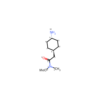 CON(C)C(=O)C[C@H]1CC[C@H](N)CC1